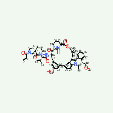 C=CC(=O)N1CC[C@@]2(CCCN([C@H](C(=O)N[C@H]3Cc4cc(O)cc(c4)-c4ccc5c(c4)c(c(-c4ccccc4CCOC)n5CC)CC(C)(C)COC(=O)[C@@H]4CCCN(N4)C3=O)C(C)C)C2=O)C1